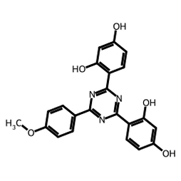 COc1ccc(-c2nc(-c3ccc(O)cc3O)nc(-c3ccc(O)cc3O)n2)cc1